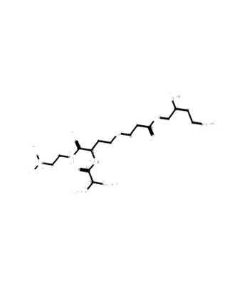 CCCCCCCCCCCCC(CCCCCCCCCC)COC(=O)CCSCCC(NC(=O)C(CCCCCC)CCCCCCCC)C(=O)NCCN(CC)CC